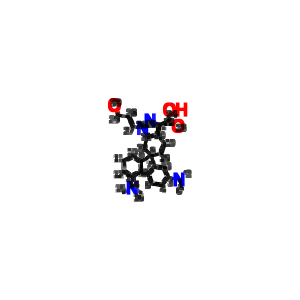 CN(C)c1cccc(C2(c3cccc(N(C)C)c3)C=Cc3c(C(=O)O)nn(C=CC=O)c3C2)c1